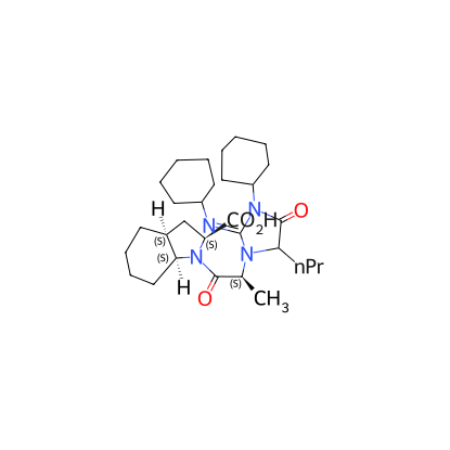 CCCC1C(=O)N(C2CCCCC2)C(=NC2CCCCC2)N1[C@@H](C)C(=O)N1[C@H](C(=O)O)C[C@@H]2CCCC[C@@H]21